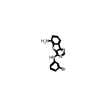 Nc1cccc2c1sc1c(Nc3cccc(Br)c3)ncnc12